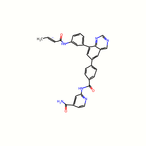 C/C=C/C(=O)Nc1cccc(-c2cc(-c3ccc(C(=O)Nc4cc(C(N)=O)ccn4)cc3)cc3cncnc23)c1